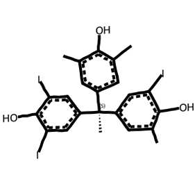 Cc1cc([C@@](C)(c2cc(C)c(O)c(I)c2)c2cc(I)c(O)c(I)c2)cc(C)c1O